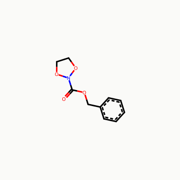 O=C(OCc1ccccc1)N1OCCO1